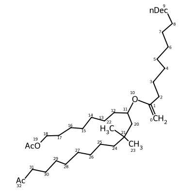 C=C(CCCCCCCCCCCCCCCCC)OC(CCCCCCCOC(C)=O)CC(C)(C)CCCCCCCCC(C)=O